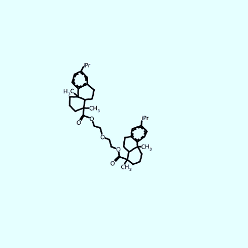 CC(C)c1ccc2c(c1)CCC1C(C)(C(=O)OCCOCCOC(=O)C3(C)CCCC4(C)c5ccc(C(C)C)cc5CCC34)CCCC21C